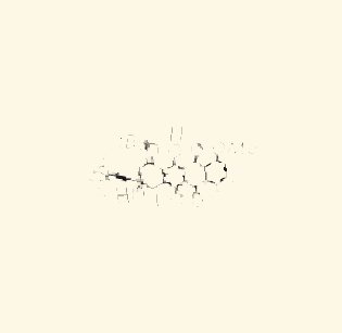 COc1cccc2c1C(=O)c1c(O)c3c(c(O)c1C2=O)C[C@@](O)(C#C[Si](C)(C)C)C[C@H]3OC(C)(C)C